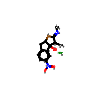 Br.CN=C1SC2Cc3ccc([N+](=O)[O-])cc3C2(O)C1C